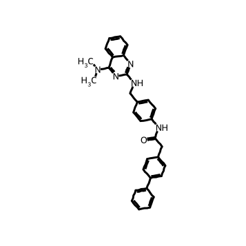 CN(C)c1nc(NCc2ccc(NC(=O)Cc3ccc(-c4ccccc4)cc3)cc2)nc2ccccc12